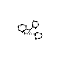 c1ccc([AsH]P(c2ccccc2)c2ccccc2)cc1